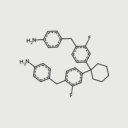 Nc1ccc(Cc2ccc(C3(c4ccc(Cc5ccc(N)cc5)c(F)c4)CCCCC3)cc2F)cc1